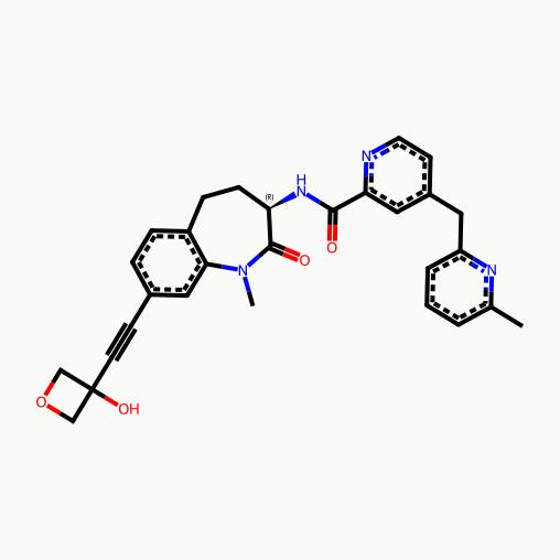 Cc1cccc(Cc2ccnc(C(=O)N[C@@H]3CCc4ccc(C#CC5(O)COC5)cc4N(C)C3=O)c2)n1